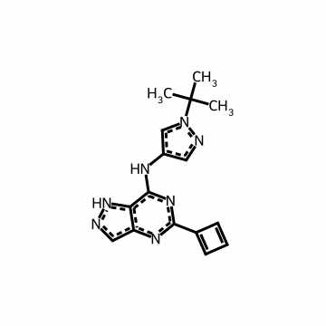 CC(C)(C)n1cc(Nc2nc(C3=CC=C3)nc3cn[nH]c23)cn1